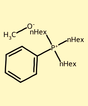 CCCCCC[P+](CCCCCC)(CCCCCC)c1ccccc1.C[O-]